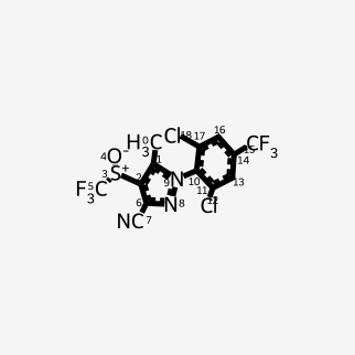 Cc1c([S+]([O-])C(F)(F)F)c(C#N)nn1-c1c(Cl)cc(C(F)(F)F)cc1Cl